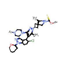 CC(=O)N1CCN(c2nn(C3CC4(C3)CN(C(=S)OC(C)(C)C)C4C)c(C)c2-c2c(Cl)ccc3c2cnn3C2CCCCO2)CC1